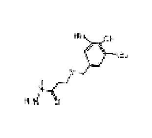 CC(C)(C)c1cc(CSCCC(=O)NN)cc(C(C)(C)C)c1O